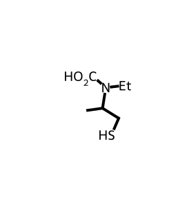 CCN(C(=O)O)C(C)CS